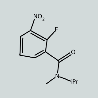 CC(C)N(C)C(=O)c1cccc([N+](=O)[O-])c1F